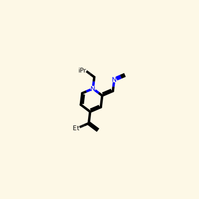 C=N/C=C1/C=C(C(=C)CC)C=CN1CC(C)C